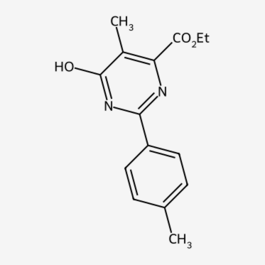 CCOC(=O)c1nc(-c2ccc(C)cc2)nc(O)c1C